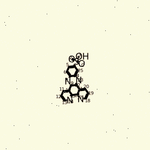 O=S(=O)(O)c1ccc2nc3c4cccnc4c4ncccc4c3nc2c1